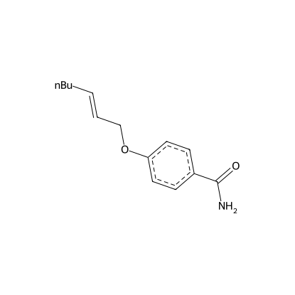 CCCCC=CCOc1ccc(C(N)=O)cc1